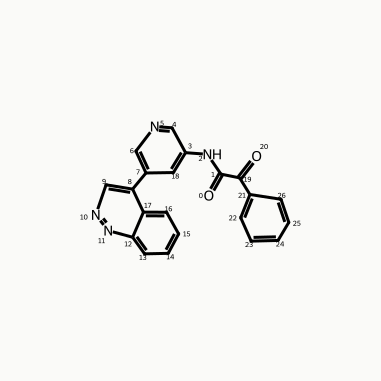 O=C(Nc1cncc(-c2cnnc3ccccc23)c1)C(=O)c1ccccc1